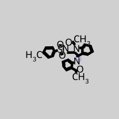 CC(=O)c1ccccc1/N=C1/c2ccccc2N(C(C)=O)C1C=NS(=O)(=O)c1ccc(C)cc1